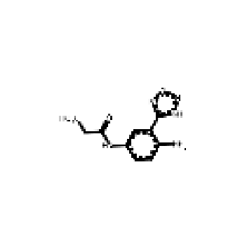 Nc1ccc(NC(=O)CC(=O)O)cc1-c1nnn[nH]1